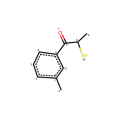 Cc1cccc(C(=O)C(C)S)c1